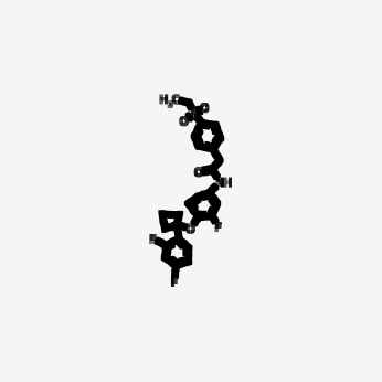 CCS(=O)(=O)c1ccc(CC(=O)Nc2ccc(OC3(c4ccc(F)cc4F)CCC3)c(F)c2)cc1